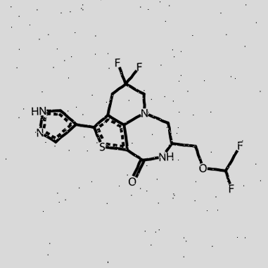 O=C1NC(COC(F)F)CN2CC(F)(F)Cc3c(-c4cn[nH]c4)sc1c32